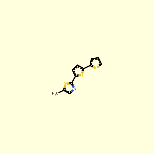 Cc1cnc(-c2ccc(-c3cccs3)s2)s1